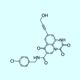 O=C(NCc1ccc(Cl)cc1)c1cn2c(=O)c(=O)[nH]c3cc(C#CCO)cc(c1=O)c32